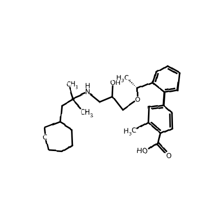 Cc1cc(-c2ccccc2[C@@H](C)OCC(O)CNC(C)(C)CC2CCCCCC2)ccc1C(=O)O